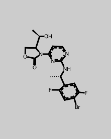 C[C@H](Nc1nccc(N2C(=O)OCC2[C@@H](C)O)n1)c1cc(F)c(Br)cc1F